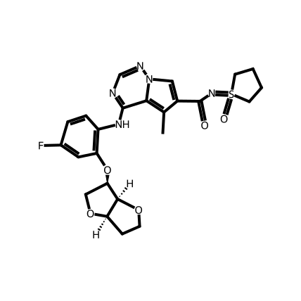 Cc1c(C(=O)N=S2(=O)CCCC2)cn2ncnc(Nc3ccc(F)cc3O[C@@H]3CO[C@@H]4CCO[C@@H]43)c12